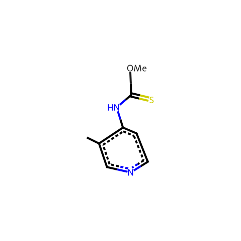 COC(=S)Nc1ccncc1C